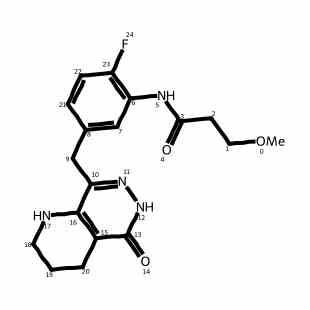 COCCC(=O)Nc1cc(Cc2n[nH]c(=O)c3c2NCCC3)ccc1F